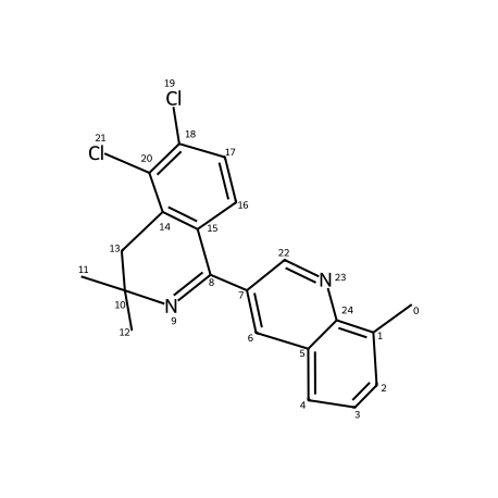 Cc1cccc2cc(C3=NC(C)(C)Cc4c3ccc(Cl)c4Cl)cnc12